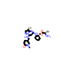 CCc1cnn2c(NCc3ccc(=O)n(C)c3)cc(N[C@H]3CCCC[C@H]3COC(=O)[C@@H](N)C(C)C)nc12